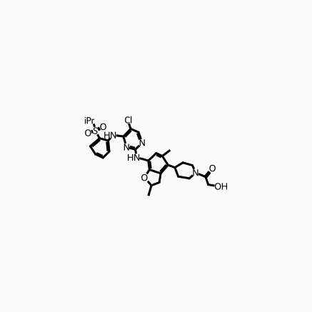 Cc1cc(Nc2ncc(Cl)c(Nc3ccccc3S(=O)(=O)C(C)C)n2)c2c(c1C1CCN(C(=O)CO)CC1)CC(C)O2